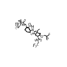 Cn1c(Nc2c(Cl)ccc(CNC(=O)C3(O)CC3)c2Cl)nc2cc(C(=O)NCC(F)(F)F)c(OCC(F)F)cc21